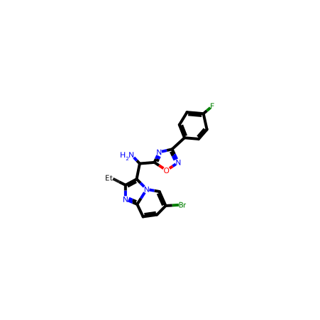 CCc1nc2ccc(Br)cn2c1C(N)c1nc(-c2ccc(F)cc2)no1